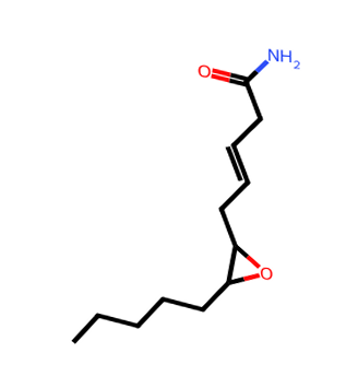 CCCCCC1OC1C/C=C/CC(N)=O